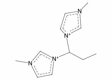 CCC([n+]1ccn(C)c1)[n+]1ccn(C)c1